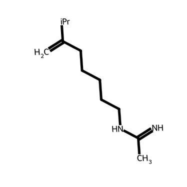 C=C(CCCCCNC(C)=N)C(C)C